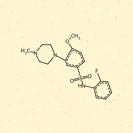 COc1ccc(S(=O)(=O)Nc2ccccc2F)cc1N1CCN(C)CC1